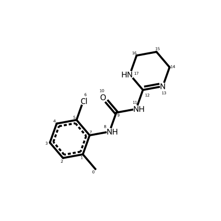 Cc1cccc(Cl)c1NC(=O)NC1=NCCCN1